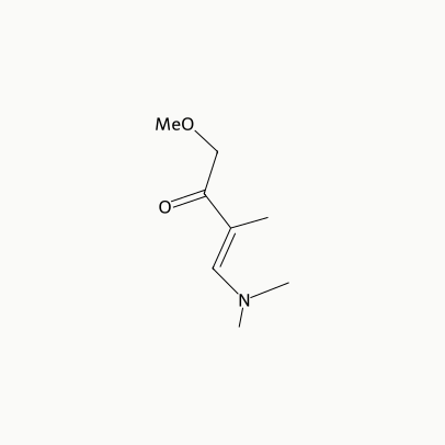 COCC(=O)/C(C)=C/N(C)C